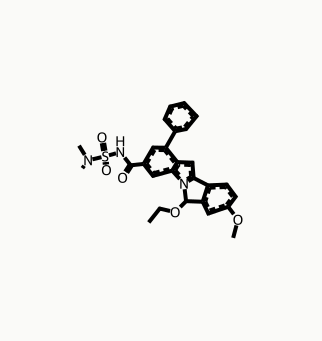 CCOC1c2cc(OC)ccc2-c2cc3c(-c4ccccc4)cc(C(=O)NS(=O)(=O)N(C)C)cc3n21